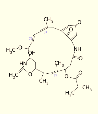 C=C1NC2(O)CC(O1)C(C)/C=C(\C)C(OC(=O)C(C)C)CC(=O)NC1=CC(=O)C=C(C/C(C)=C/C=C/C2OC)C1=O